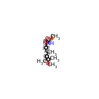 COc1cc(C)c2cc(C(C)=Cc3ccc(C(=O)NC(CCSC)C(=O)O)cc3)ccc2c1C